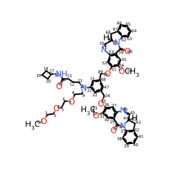 COCCOCCOCCN(CCCC(=O)NC1CCC1)c1cc(COc2cc3c(cc2OC)C(=O)N2c4ccccc4C[C@H]2C=N3)cc(COc2cc3c(cc2OC)C(=O)N2c4ccccc4C[C@H]2C=N3)c1